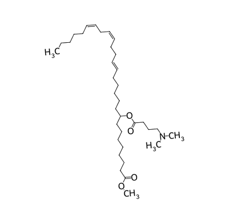 CCCCC/C=C\C/C=C\CC/C=C/CCCCCC(CCCCCCCC(=O)OC)OC(=O)CCCN(C)C